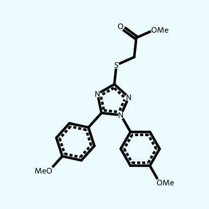 COC(=O)CSc1nc(-c2ccc(OC)cc2)n(-c2ccc(OC)cc2)n1